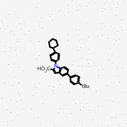 CC(C)(C)c1ccc(-c2ccc3c(c2)cc(C(=O)O)n3-c2ccc(C3CCCCC3)cc2)cc1